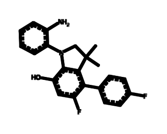 CC1(C)CN(c2ccccc2N)c2c(O)cc(F)c(-c3ccc(F)cc3)c21